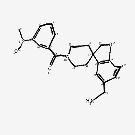 C[S+]([O-])c1cccc(C(=O)N2CCC3(CC2)COc2ccc(CN)cc23)c1